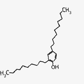 CCCCCCCCCCc1ccc(O)c(CCCCCCCCCC)c1